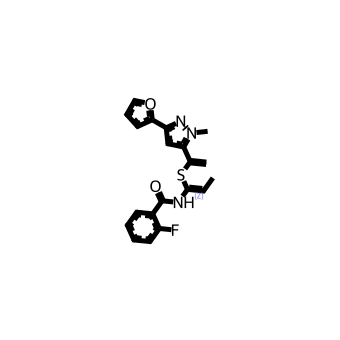 C=C(S/C(=C\C)NC(=O)c1ccccc1F)c1cc(-c2ccco2)nn1C